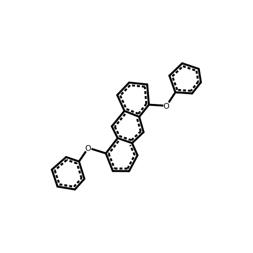 c1ccc(Oc2cccc3cc4c(Oc5ccccc5)cccc4cc23)cc1